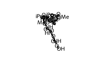 CC[C@H](C)[C@@H]([C@@H](CC(=O)N1CCC[C@H]1[C@H](OC)[C@@H](C)C(=O)N[C@@H](Cc1ccccc1)C(=O)OC)OC)N(C)C(=O)[C@@H](NC(=O)[C@H](C(C)C)N(C)C(=O)CCOCCNC(=O)C#CC(=O)NCCOCCC(=O)NCCOCCO)C(C)C